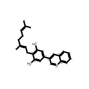 CC(C)=CCC/C(C)=C/Cc1c(O)cc(-c2cnc3ccccc3c2)cc1O